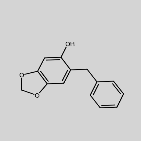 Oc1cc2c(cc1Cc1ccccc1)OCO2